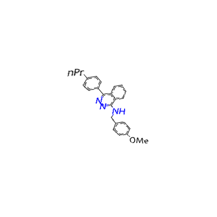 CCCc1ccc(-c2nnc(NCc3ccc(OC)cc3)c3ccccc23)cc1